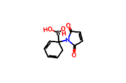 O=C1C=CC(=O)N1C1(B(O)O)C=CC=CC1